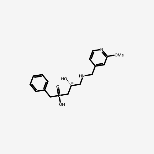 COc1cc(CNC[C@@H](O)CP(=O)(O)Cc2ccccc2)ccn1